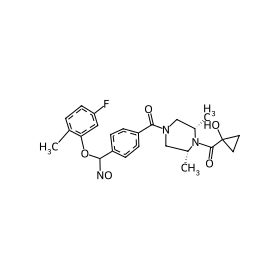 Cc1ccc(F)cc1OC(N=O)c1ccc(C(=O)N2C[C@@H](C)N(C(=O)C3(O)CC3)[C@@H](C)C2)cc1